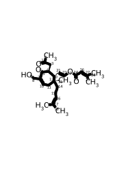 CC(=O)C[C@@H]1C(=O)C(CO)=CC[C@](C)(CCC=C(C)C)[C@H]1/C=C/OC(=O)C=C(C)C